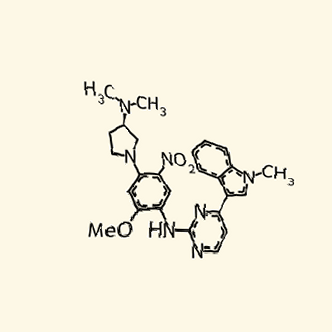 COc1cc(N2CC[C@@H](N(C)C)C2)c([N+](=O)[O-])cc1Nc1nccc(-c2cn(C)c3ccccc23)n1